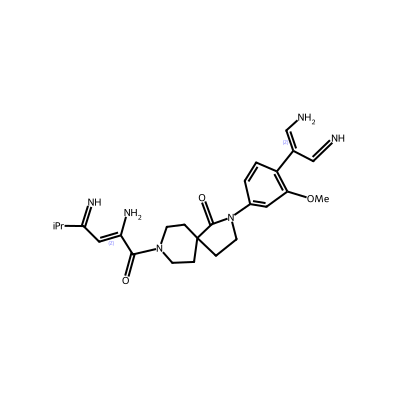 COc1cc(N2CCC3(CCN(C(=O)/C(N)=C/C(=N)C(C)C)CC3)C2=O)ccc1/C(C=N)=C/N